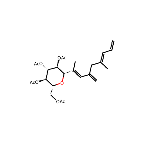 C=C/C=C(\C)CC(=C)/C=C(\C)[C@@H]1O[C@H](COC(C)=O)[C@@H](OC(C)=O)[C@H](OC(C)=O)[C@H]1OC(C)=O